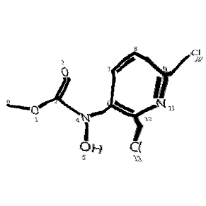 COC(=O)N(O)c1ccc(Cl)nc1Cl